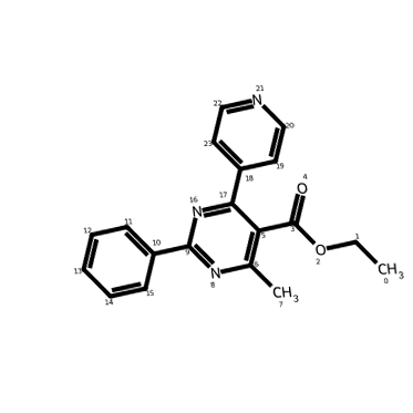 CCOC(=O)c1c(C)nc(-c2ccccc2)nc1-c1ccncc1